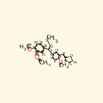 CCCC(c1ccc(OC)c(C=C2CCCC2)c1)c1ccc(OC)c(OC)c1